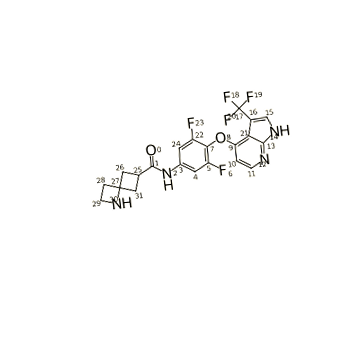 O=C(Nc1cc(F)c(Oc2ccnc3[nH]cc(C(F)(F)F)c23)c(F)c1)C1CC2(CCN2)C1